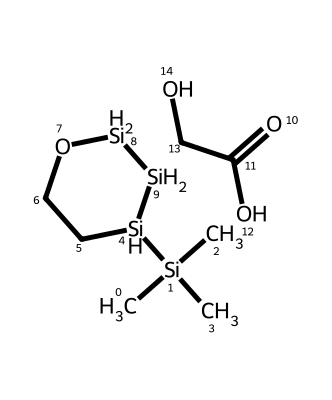 C[Si](C)(C)[SiH]1CCO[SiH2][SiH2]1.O=C(O)CO